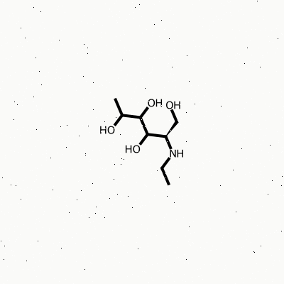 CCN[C@H](CO)C(O)C(O)C(C)O